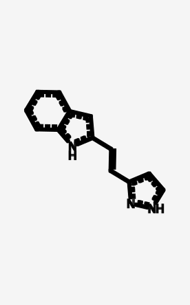 C(=Cc1cc2ccccc2[nH]1)c1cc[nH]n1